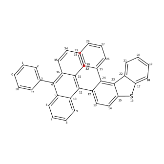 c1ccc(-c2c3ccccc3c(-c3ccc4sc5ccccc5c4c3-c3ccccc3)c3ccccc23)cc1